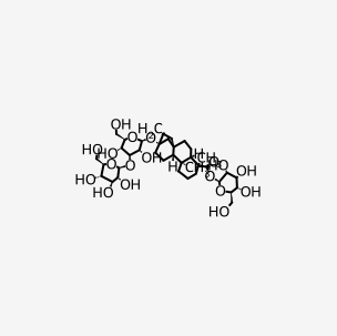 C=C1C[C@@]23CC[C@H]4[C@@](C)(CCC[C@@]4(C)C(=O)O[C@@H]4O[C@H](CO)[C@@H](O)[C@H](O)[C@H]4O)[C@@H]2CC[C@]1(O[C@@H]1O[C@H](CO)[C@@H](O)[C@H](O[C@@H]2O[C@H](CO)[C@@H](O)[C@H](O)[C@H]2O)[C@H]1O)C3